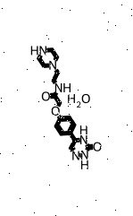 O.O=C(COc1ccc(C2C=NNC(=O)N2)cc1)NCCN1CCNCC1